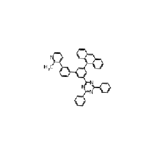 Cc1ncccc1-c1cccc(-c2cc(-c3nc(-c4ccccc4)nc(-c4ccccc4)n3)cc(-c3c4ccccc4cc4ccccc34)c2)c1